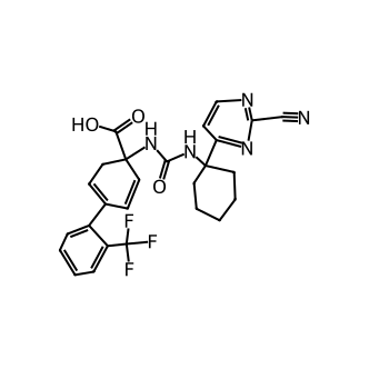 N#Cc1nccc(C2(NC(=O)NC3(C(=O)O)C=CC(c4ccccc4C(F)(F)F)=CC3)CCCCC2)n1